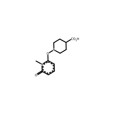 Cn1c(ON2CCC(C(=O)O)CC2)cccc1=O